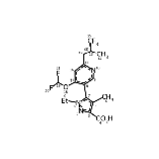 CCn1nc(C(=O)O)c(C)c1-c1cnc(C[C@H](C)C(F)(F)F)cc1OC(F)F